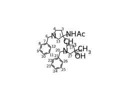 CC(=O)NC1(C)CCN(Cc2ccccc2)C1.CC1(O)CCN(Cc2ccccc2)C1